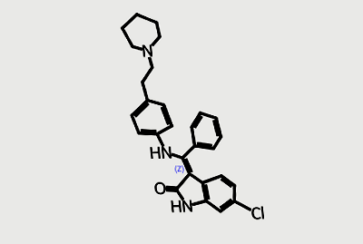 O=C1Nc2cc(Cl)ccc2/C1=C(/Nc1ccc(CCN2CCCCC2)cc1)c1ccccc1